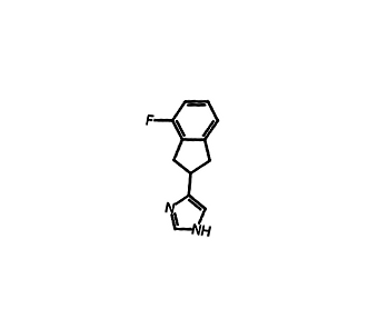 Fc1cccc2c1CC(c1c[nH]cn1)C2